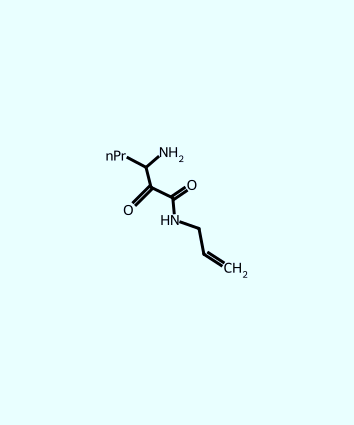 C=CCNC(=O)C(=O)C(N)CCC